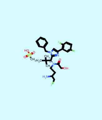 CC(C)(C)[C@H](c1nc(-c2cc(F)ccc2F)cn1Cc1ccccc1)N(CCC(N)CF)C(=O)CO.CS(=O)(=O)O